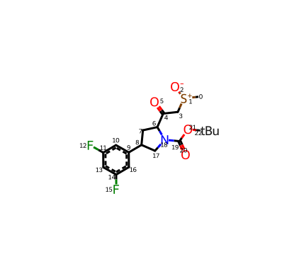 C[S+]([O-])CC(=O)C1CC(c2cc(F)cc(F)c2)CN1C(=O)OC(C)(C)C